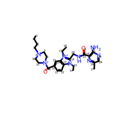 CCCCN1CCN(C(=O)c2ccc3c(c2)[n+](CC)c(CNC(=O)c2nc(C)cnc2N)n3CC)CC1